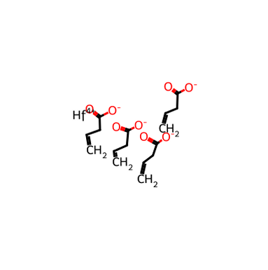 C=CCC(=O)[O-].C=CCC(=O)[O-].C=CCC(=O)[O-].C=CCC(=O)[O-].[Hf+4]